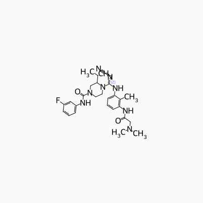 Cc1c(NC(=O)CN(C)C)cccc1N/C(=N/C#N)N1CCN(C(=O)Nc2cccc(F)c2)CC1C(C)C